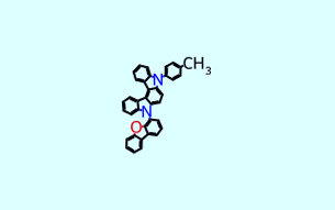 Cc1ccc(-n2c3ccccc3c3c4c5ccccc5n(-c5cccc6c5oc5ccccc56)c4ccc32)cc1